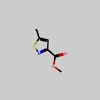 COC(=O)c1cc(C)sn1